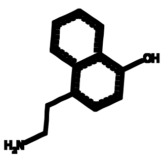 NCCc1ccc(O)c2ccccc12